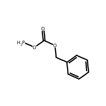 O=C(OP)OCc1ccccc1